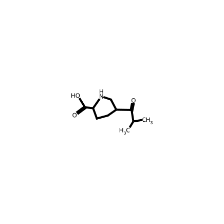 CC(C)C(=O)C1CCC(C(=O)O)NC1